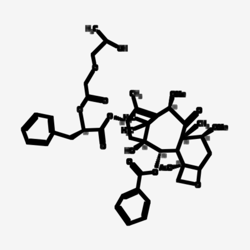 CO[C@H]1C(=O)[C@@]2(C)C([C@H](OC(=O)c3ccccc3)[C@]3(O)C[C@H](OC(=O)[C@@H](Cc4ccccc4)OC(=O)COCC(C)O)C(C)=C1C3(C)C)[C@]1(OC(C)=O)COC1C[C@@H]2OC